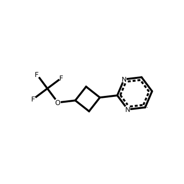 FC(F)(F)OC1CC(c2n[c]ccn2)C1